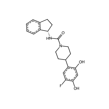 O=C(N[C@H]1CCc2ccccc21)N1CCC(c2cc(F)c(O)cc2O)CC1